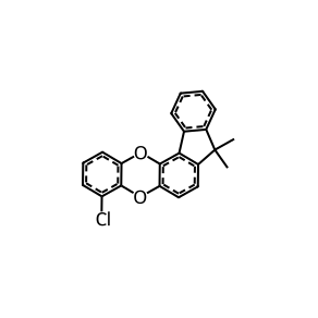 CC1(C)c2ccccc2-c2c1ccc1c2Oc2cccc(Cl)c2O1